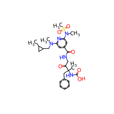 CC1CC1CN(C)c1cc(C(=O)NCC(=O)C(C)(Cc2ccccc2)NC(=O)O)cc(N(C)S(C)(=O)=O)n1